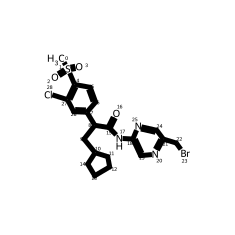 CS(=O)(=O)c1ccc(C(CC2CCCC2)C(=O)Nc2cnc(CBr)cn2)cc1Cl